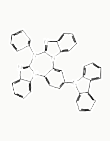 c1ccc(-n2c3nc4ccccc4n3c3ccc(-n4c5ccccc5c5ccccc54)cc3n3c4ccccc4nc23)cc1